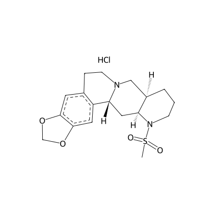 CS(=O)(=O)N1CCC[C@@H]2CN3CCc4cc5c(cc4[C@H]3C[C@@H]21)OCO5.Cl